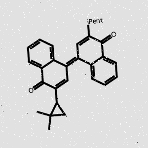 CCCC(C)C1=C/C(=C2/C=C(C3CC3(C)C)C(=O)c3ccccc32)c2ccccc2C1=O